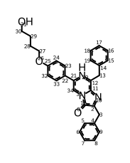 O=c1c(Cc2ccccc2)nc2c(Cc3ccccc3)[nH]c(-c3ccc(OCCCCO)cc3)cn1-2